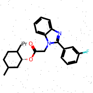 CC1CCC(C(C)C)[C@H](OC(=O)Cn2c(-c3cccc(F)c3)nc3ccccc32)C1